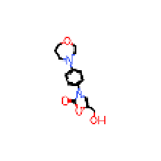 O=C1OC(CO)CN1c1ccc(N2CCCOCC2)cc1